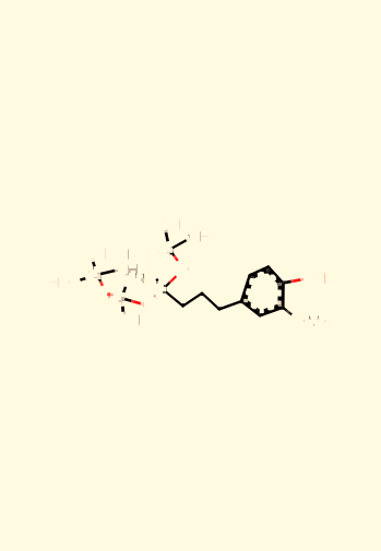 COc1cc(CCC[Si](C)(O[Si](C)(C)C)O[Si](C)(C)O[Si](C)(C)C)ccc1O